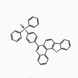 O=P(c1ccccc1)(c1ccccc1)c1ccc(-c2nc3ccccc3c3c2ccc2c4ccccc4oc23)cc1